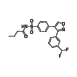 CCCC(=O)NS(=O)(=O)c1ccc(-c2conc2-c2cccc(C(F)F)c2)cc1